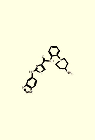 NC1CCN(c2ccccc2NC(=O)c2csc(Nc3ccc4[nH]nnc4c3)n2)CC1